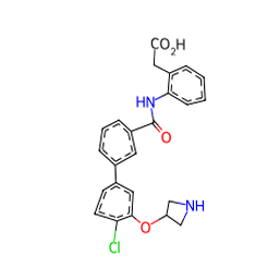 O=C(O)Cc1ccccc1NC(=O)c1cccc(-c2ccc(Cl)c(OC3CNC3)c2)c1